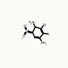 CCC1=C(C)C(N)=CC(=S(=O)=O)C1N